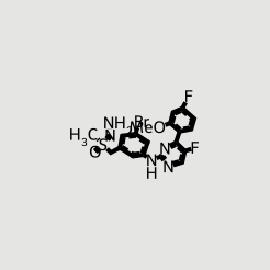 COc1cc(F)ccc1-c1nc(Nc2cc(Br)cc(CS(C)(=O)=NN)c2)ncc1F